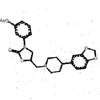 COc1cccc(N2CC(CN3CCC(c4ccc5c(c4)OCO5)CC3)OC2=O)c1